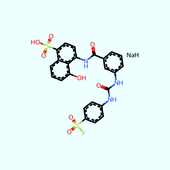 O=C(Nc1ccc(S(=O)(=O)F)cc1)Nc1cccc(C(=O)Nc2ccc(S(=O)(=O)O)c3cccc(O)c23)c1.[NaH]